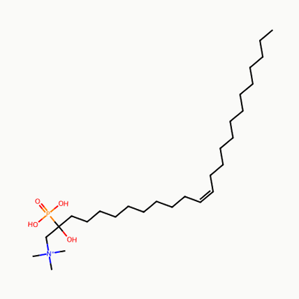 CCCCCCCCCCCC/C=C\CCCCCCCCCC(O)(C[N+](C)(C)C)P(=O)(O)O